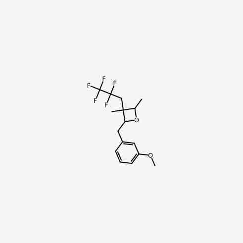 COc1cccc(CC2OC(C)C2(C)CC(F)(F)C(F)(F)F)c1